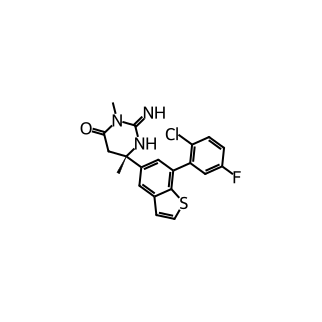 CN1C(=N)N[C@](C)(c2cc(-c3cc(F)ccc3Cl)c3sccc3c2)CC1=O